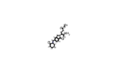 CC(C)(C)OC(=O)CCC(C(N)=O)N1Cc2cc(/C=C3\CCCCC3=O)ccc2C1=O